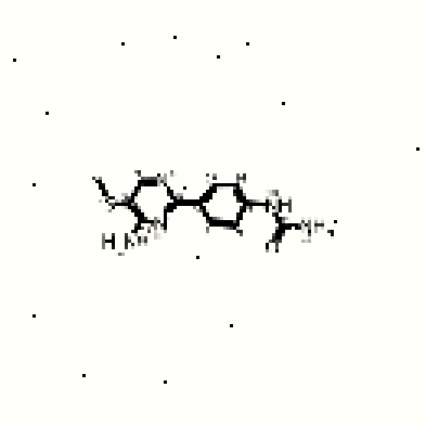 CSc1cnc(-c2ccc(NC(N)=O)cc2)nc1N